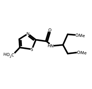 COCC(COC)NC(=O)c1ncc(C(=O)O)s1